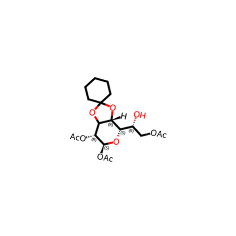 CC(=O)OC[C@@H](O)[C@@H]1O[C@@H](OC(C)=O)[C@H](OC(C)=O)C2OC3(CCCCC3)O[C@@H]21